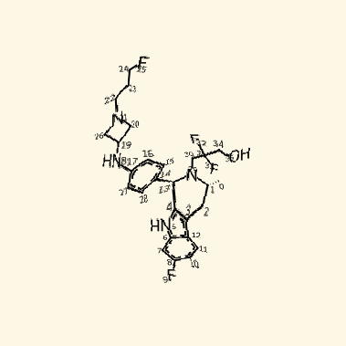 C[C@@H]1Cc2c([nH]c3cc(F)ccc23)[C@@H](c2ccc(NC3CN(CCCF)C3)cc2)N1CC(F)(F)CO